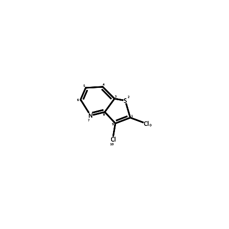 Clc1sc2cc[c]nc2c1Cl